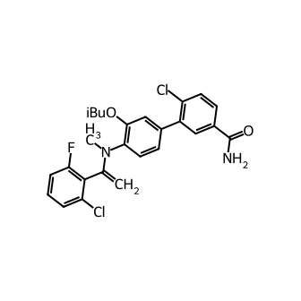 C=C(c1c(F)cccc1Cl)N(C)c1ccc(-c2cc(C(N)=O)ccc2Cl)cc1OCC(C)C